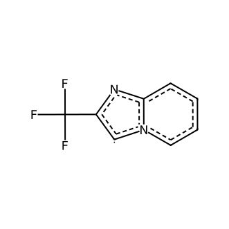 FC(F)(F)c1[c]n2ccccc2n1